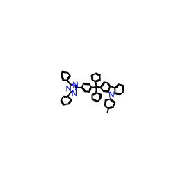 Cc1ccc(-n2c3ccccc3c3ccc(C(c4ccccc4)(c4ccccc4)c4ccc(-c5nc(-c6ccccc6)nc(-c6ccccc6)n5)cc4)cc32)cc1